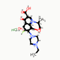 CCN1CCN(c2c(F)cc3c(=O)c(C(=O)O)cn4c3c2OCC4C)CC1.Cl.O